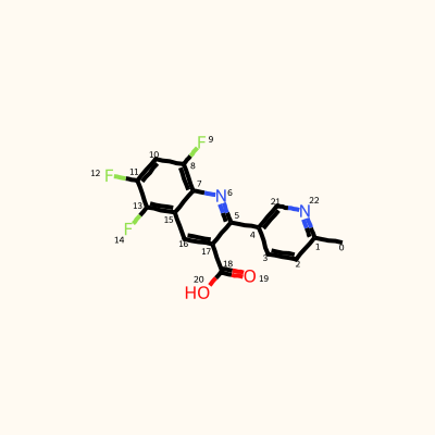 Cc1ccc(-c2nc3c(F)cc(F)c(F)c3cc2C(=O)O)cn1